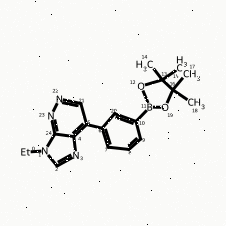 CCn1cnc2c(-c3cccc(B4OC(C)(C)C(C)(C)O4)c3)cnnc21